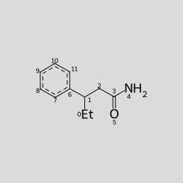 CCC(CC(N)=O)c1ccccc1